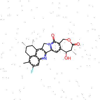 Cc1c(F)cc2nc3c(c4c2c1C[C@H](C)[C@@H]4C)Cn1c-3cc2c(c1=O)COC(=O)[C@H](C)C2O